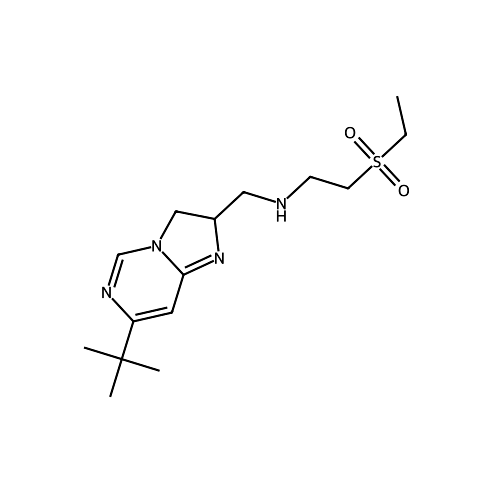 CCS(=O)(=O)CCNCC1CN2C=NC(C(C)(C)C)=CC2=N1